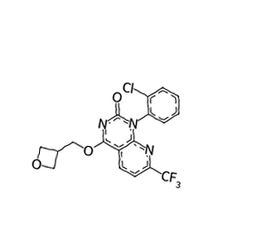 O=c1nc(OCC2COC2)c2ccc(C(F)(F)F)nc2n1-c1ccccc1Cl